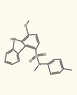 COc1ccc(S(=O)(=O)N(C)c2ccc(C)cc2)c2c1[nH]c1ccccc12